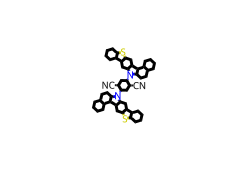 N#Cc1cc(-n2c3cc4c(cc3c3c5ccccc5ccc32)sc2ccccc24)c(C#N)cc1-n1c2cc3c(cc2c2c4ccccc4ccc21)sc1ccccc13